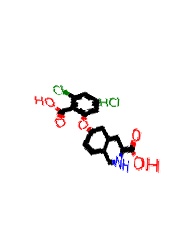 Cl.O=C(O)c1c(Cl)cccc1OC1CCC2CNC(C(=O)O)CC2C1